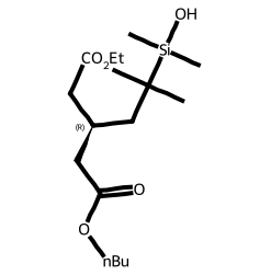 CCCCOC(=O)C[C@@H](CC(=O)OCC)CC(C)(C)[Si](C)(C)O